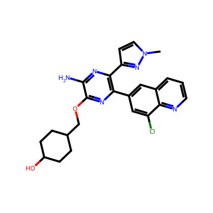 Cn1ccc(-c2nc(N)c(OCC3CCC(O)CC3)nc2-c2cc(Cl)c3ncccc3c2)n1